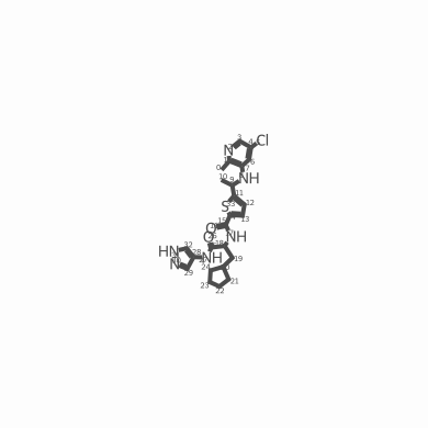 Cc1ncc(Cl)cc1NC(C)c1ccc(C(=O)NC(CC2CCCC2)C(=O)Nc2cn[nH]c2)s1